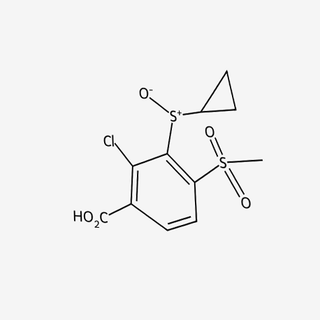 CS(=O)(=O)c1ccc(C(=O)O)c(Cl)c1[S+]([O-])C1CC1